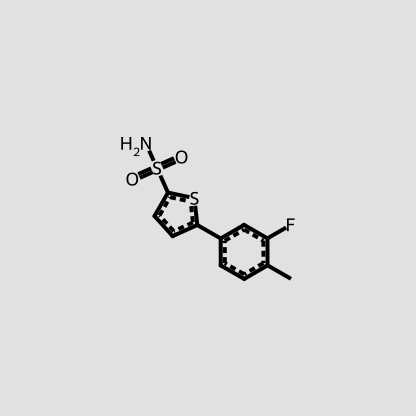 Cc1ccc(-c2ccc(S(N)(=O)=O)s2)cc1F